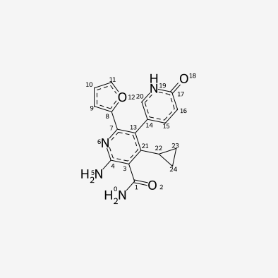 NC(=O)c1c(N)nc(-c2ccco2)c(-c2ccc(=O)[nH]c2)c1C1CC1